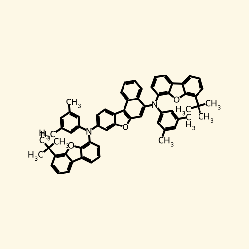 Cc1cc(C)cc(N(c2ccc3c(c2)oc2cc(N(c4cc(C)cc(C)c4)c4cccc5c4oc4c(C(C)(C)C)cccc45)c4ccccc4c23)c2cccc3c2oc2c(C(C)(C)C)cccc23)c1